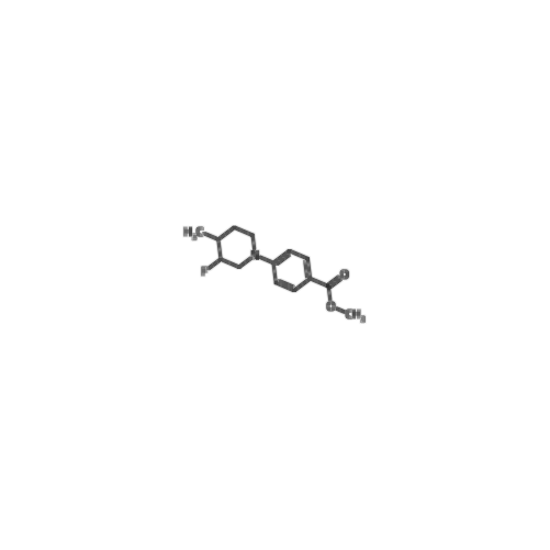 COC(=O)c1ccc(N2CCC(C)C(F)C2)cc1